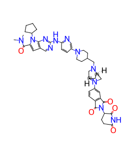 CN(C)C(=O)c1cc2cnc(Nc3ccc(N4CCC(CN5C[C@H]6C[C@@H]5CN6c5ccc6c(c5)C(=O)N(C5CCC(=O)NC5=O)C6=O)CC4)cn3)nc2n1C1CCCC1